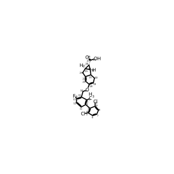 Cc1c(-c2c(Cl)cccc2Cl)ccc(F)c1COC1=CCC2C(=C1)C[C@H]1[C@H](C(=O)O)[C@@H]21